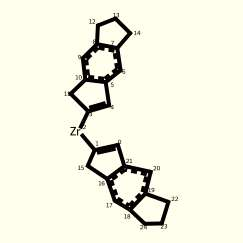 C1=[C]([Zr][C]2=Cc3cc4c(cc3C2)CCC4)Cc2cc3c(cc21)CCC3